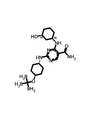 BC(B)(B)O[C@H]1CC[C@H](Nc2ncc(C(N)=O)c(N[C@@H]3CCC[C@H](O)C3)n2)CC1